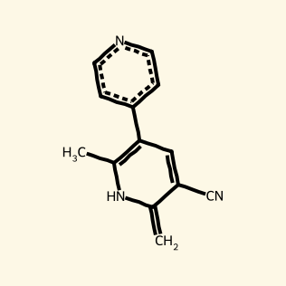 C=C1NC(C)=C(c2ccncc2)C=C1C#N